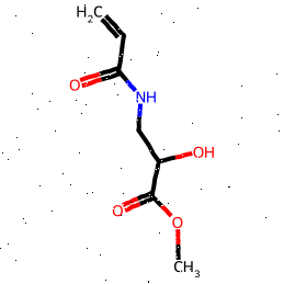 C=CC(=O)NCC(O)C(=O)OC